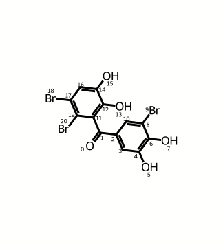 O=C(c1cc(O)c(O)c(Br)c1)c1c(O)c(O)cc(Br)c1Br